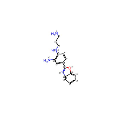 NCCCNc1ccc(-c2nc3ccccc3o2)cc1N